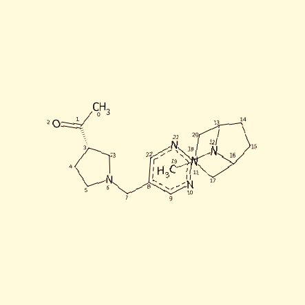 CC(=O)[C@H]1CCN(Cc2cnc(N3C4CCC3CN(C)C4)nc2)C1